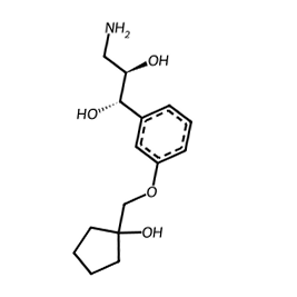 NC[C@@H](O)[C@@H](O)c1cccc(OCC2(O)CCCC2)c1